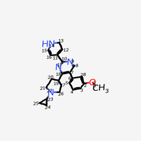 COc1cccc(-c2cnc(C3=CCNC=C3)nc2C2CCN(C3CC3)CC2)c1